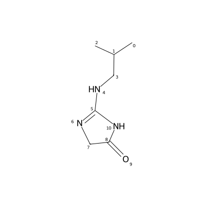 CC(C)CNC1=NCC(=O)N1